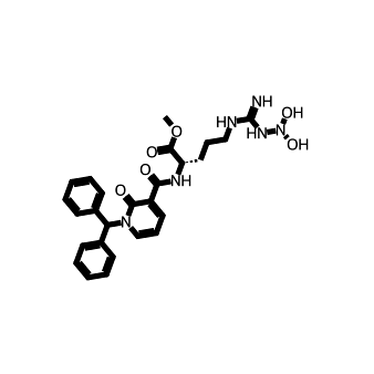 COC(=O)[C@H](CCCNC(=N)NN(O)O)NC(=O)c1cccn(C(c2ccccc2)c2ccccc2)c1=O